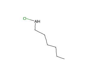 CCCCC[CH2][AlH][Cl]